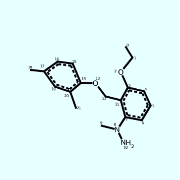 CCOc1cccc(N(C)N)c1COc1ccc(C)cc1C